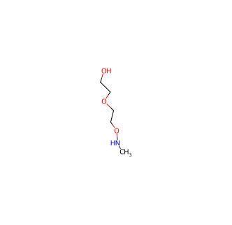 CNOCCOCCO